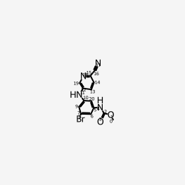 COC(=O)Nc1cc(Br)cc(Nc2ccc(C#N)nc2)c1